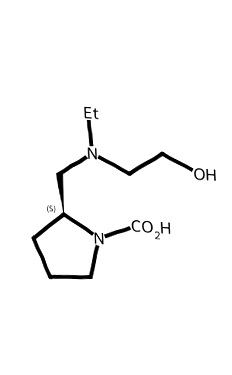 CCN(CCO)C[C@@H]1CCCN1C(=O)O